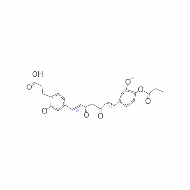 CCC(=O)Oc1ccc(/C=C/C(=O)CC(=O)/C=C/c2ccc(CCC(=O)O)c(OC)c2)cc1OC